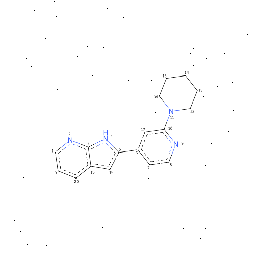 c1cnc2[nH]c(-c3ccnc(N4CCCCC4)c3)cc2c1